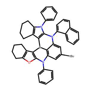 CC(C)(C)c1cc2c3c(c1)N(c1cccc4ccccc14)c1c(c4c(n1-c1ccccc1)CCCC4)B3c1c(oc3c1CCCC3)N2c1ccccc1